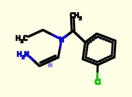 C=C(c1cccc(Cl)c1)N(/C=C\N)CC